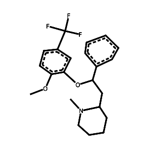 COc1ccc(C(F)(F)F)cc1OC(CC1CCCCN1C)c1ccccc1